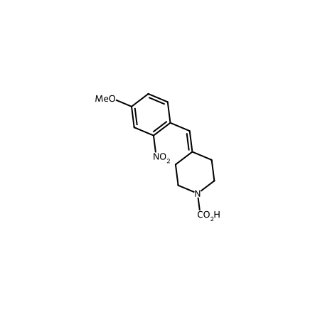 COc1ccc(C=C2CCN(C(=O)O)CC2)c([N+](=O)[O-])c1